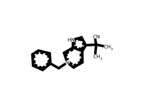 CC(C)(C#N)c1c[nH]c2c[n+](Cc3ccccc3)ccc12